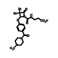 CCC1(CC)C(=O)N(C(=O)NCCC(=O)O)C1Oc1ccc(C(=O)N2CCN(C)CC2)cc1